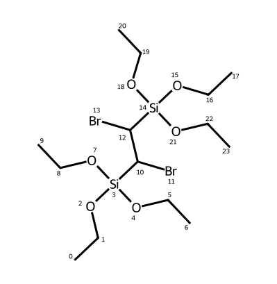 CCO[Si](OCC)(OCC)C(Br)C(Br)[Si](OCC)(OCC)OCC